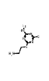 [2H]Nc1nc(Cl)nc(SCCN)n1